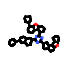 c1ccc(-c2ccc3cc(-c4nc(-c5ccc6ccc7oc8ccccc8c7c6c5)nc(-c5cccc6oc7c(-c8ccccc8)cccc7c56)n4)ccc3c2)cc1